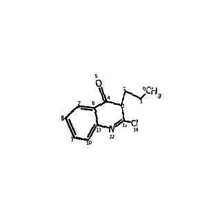 CCCC1C(=O)c2ccccc2N=C1Cl